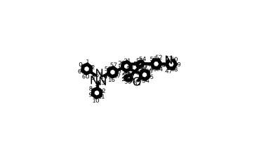 c1ccc(-c2nc(-c3ccccc3)nc(-c3ccc(-c4ccc5c(c4)C4(c6ccccc6Oc6ccccc64)c4cc(-c6ccc(-c7ccccn7)cc6)ccc4-5)cc3)n2)cc1